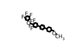 CCOCC1CCC(c2ccc(-c3cc(F)c(C(F)(F)Oc4cc(F)c(F)c(F)c4)c(F)c3)cc2)CC1